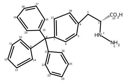 NN[C@H](Cc1ccc(C(c2ccccc2)(c2ccccc2)c2ccccc2)cc1)C(=O)O